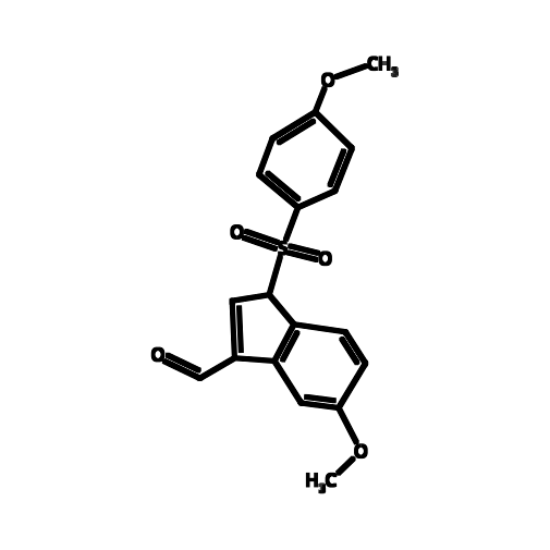 COc1ccc(S(=O)(=O)C2C=C(C=O)c3cc(OC)ccc32)cc1